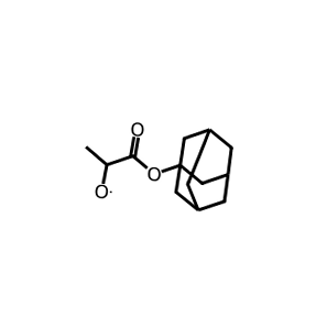 CC([O])C(=O)OC12CC3CC(CC(C3)C1)C2